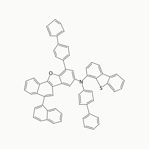 c1ccc(-c2ccc(-c3cc(N(c4ccc(-c5ccccc5)cc4)c4cccc5c4sc4ccccc45)cc4c3oc3c5ccccc5c(-c5cccc6ccccc56)cc43)cc2)cc1